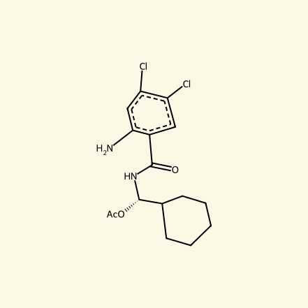 CC(=O)O[C@H](NC(=O)c1cc(Cl)c(Cl)cc1N)C1CCCCC1